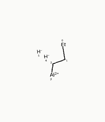 CCC[CH2][Al+2].[H-].[H-]